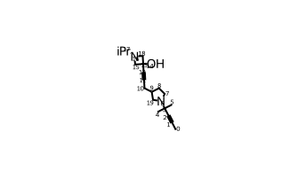 CC#CC(C)(C)N1CCC(CC#CC2(O)CN(C(C)C)C2)C1